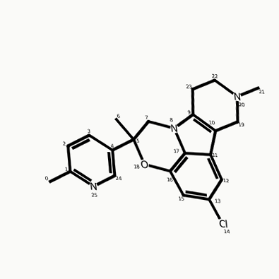 Cc1ccc(C2(C)Cn3c4c(c5cc(Cl)cc(c53)O2)CN(C)CC4)cn1